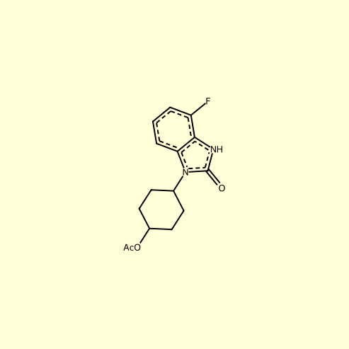 CC(=O)OC1CCC(n2c(=O)[nH]c3c(F)cccc32)CC1